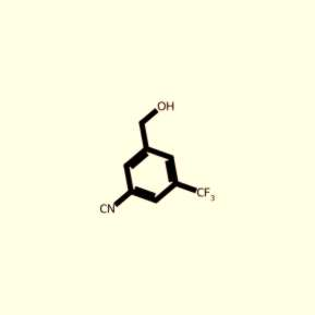 [C-]#[N+]c1cc(CO)cc(C(F)(F)F)c1